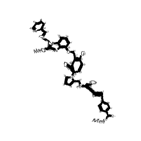 CNC(=O)c1ccc(C=CC(=O)NCc2cccn2-c2ccc(Cl)c(COc3cccc4c3nc(OC)n4OCc3ccccn3)c2Cl)cc1